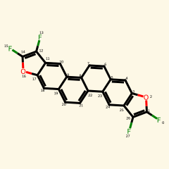 Fc1oc2cc3ccc4c5cc6c(F)c(F)oc6cc5ccc4c3cc2c1F